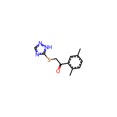 Cc1ccc(C)c(C(=O)CSc2ncn[nH]2)c1